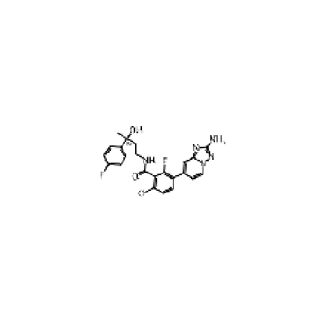 C[C@@](O)(CCNC(=O)c1c(Cl)ccc(-c2ccn3nc(N)nc3c2)c1F)c1ccc(F)cc1